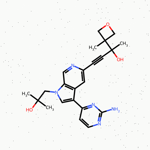 CC(C)(O)Cn1cc(-c2ccnc(N)n2)c2cc(C#CC(C)(O)C3(C)COC3)ncc21